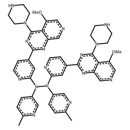 COc1cncc2nc(-c3ccnc(N(c4ccc(C)nc4)N(c4ccc(C)nc4)c4cc(-c5nc(N6CCNCC6)c6c(OC)cncc6n5)ccn4)c3)nc(N3CCNCC3)c12